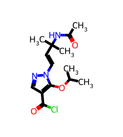 CC(=O)NC(C)(C)/C=C/n1ncc(C(=O)Cl)c1OC(C)C